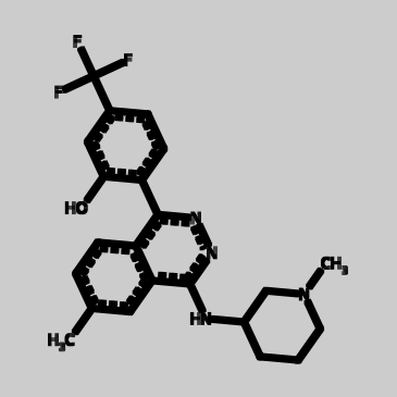 Cc1ccc2c(-c3ccc(C(F)(F)F)cc3O)nnc(NC3CCCN(C)C3)c2c1